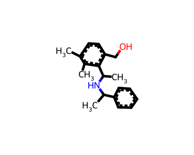 Cc1ccc(CO)c(C(C)NC(C)c2ccccc2)c1C